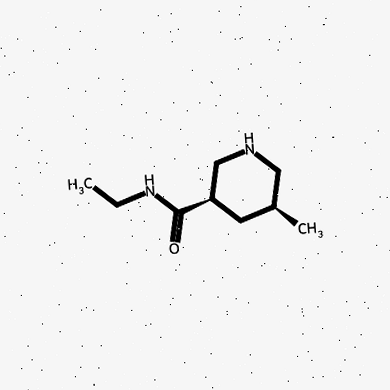 CCNC(=O)[C@H]1CNC[C@@H](C)C1